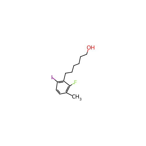 Cc1ccc(I)c(CCCCCCO)c1F